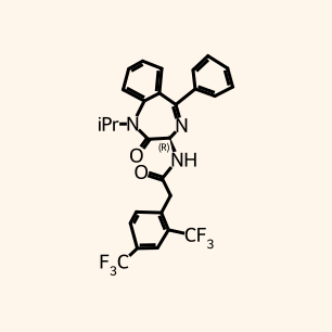 CC(C)N1C(=O)[C@H](NC(=O)Cc2ccc(C(F)(F)F)cc2C(F)(F)F)N=C(c2ccccc2)c2ccccc21